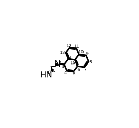 N=C=NC1C=Cc2cccc3cccc1c23